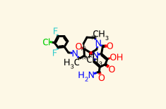 CC1[C@H](C)[C@]2(CC[C@H](C)N3C[C@H]2n2cc(C(N)=O)c(=O)c(O)c2C3=O)ON1Cc1ccc(F)c(Cl)c1F